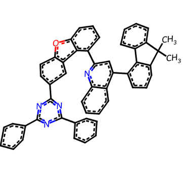 CC1(C)c2ccccc2-c2c(-c3cc(-c4cccc5oc6ccc(-c7nc(-c8ccccc8)nc(-c8ccccc8)n7)cc6c45)nc4ccccc34)cccc21